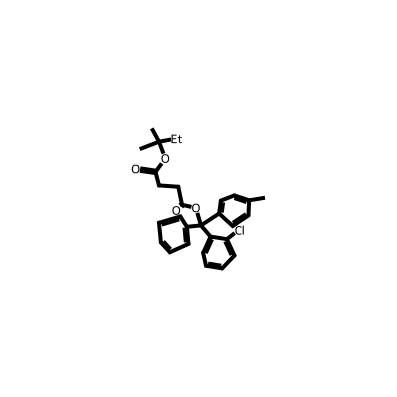 CCC(C)(C)OC(=O)CCC(=O)OC(c1ccccc1)(c1ccc(C)cc1)c1ccccc1Cl